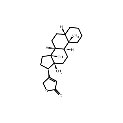 C[C@]12CCCC[C@H]1CC[C@@H]1[C@@H]2CC[C@]2(C)[C@@H](C3=CC(=O)OC3)CC[C@]12O